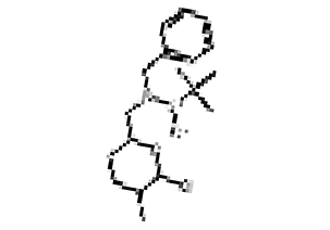 CC1CCC(CN(Cc2ccccc2)[S+]([O-])C(C)(C)C)OC1O